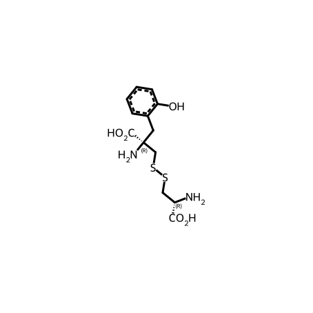 N[C@@H](CSSC[C@@](N)(Cc1ccccc1O)C(=O)O)C(=O)O